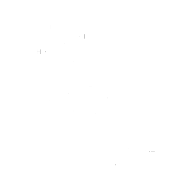 CC(C)(C)OCC(C)(C)OC(=O)CCC(=O)O